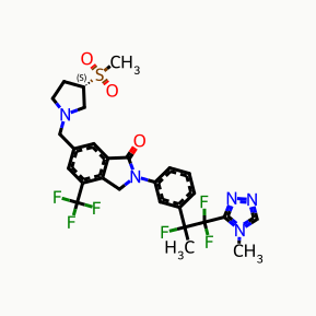 Cn1cnnc1C(F)(F)C(C)(F)c1cccc(N2Cc3c(cc(CN4CC[C@H](S(C)(=O)=O)C4)cc3C(F)(F)F)C2=O)c1